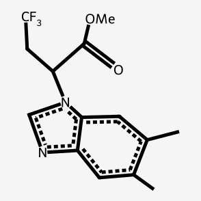 COC(=O)C(CC(F)(F)F)n1cnc2cc(C)c(C)cc21